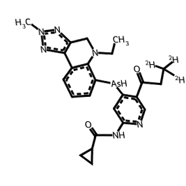 [2H]C([2H])([2H])CC(=O)c1cnc(NC(=O)C2CC2)cc1[AsH]c1cccc2c1N(CC)Cc1nn(C)nc1-2